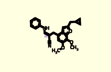 COc1cc(C/C(C#N)=C\Nc2ccccc2)c2cc(CC3CC3)oc2c1OC